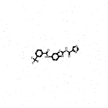 O=C(Nc1ccc2nc(NC(=O)c3cscn3)sc2c1)c1cccc(C(F)(F)F)c1